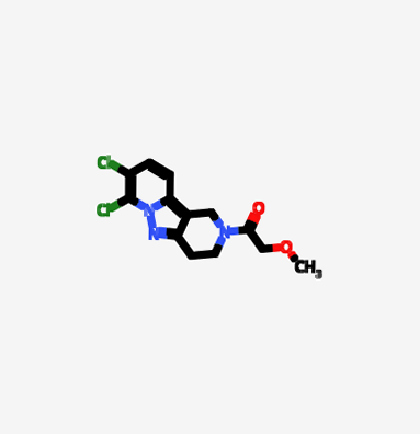 COCC(=O)N1CCc2nn3c(Cl)c(Cl)ccc3c2C1